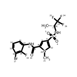 C[C@@H](NS(=O)(=O)c1cc(C(=O)Nc2cccc(Br)c2F)n(C)c1)C(F)(F)F